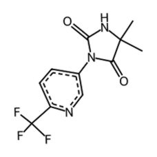 CC1(C)NC(=O)N(c2ccc(C(F)(F)F)nc2)C1=O